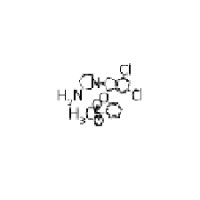 CS(=O)(=O)c1ccccc1O[C@H]1c2cc(Cl)cc(Cl)c2C[C@@H]1N1CCCC(N)C1